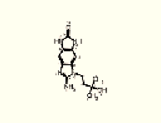 CC(C)(O)CCn1c(N)nc2cc3[nH]c(=O)[nH]c3cc21